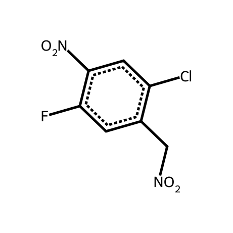 O=[N+]([O-])Cc1cc(F)c([N+](=O)[O-])cc1Cl